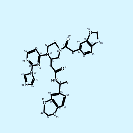 CC(NC(=O)CC1CN(C(=O)Cc2ccc3c(c2)OCO3)CCN1c1ccnc(-n2ccnc2)n1)c1ccc2c(c1)OCCO2